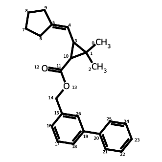 CC1(C)C(C=C2CCCC2)C1C(=O)OCc1cccc(-c2ccccc2)c1